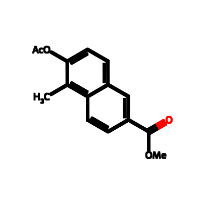 COC(=O)c1ccc2c(C)c(OC(C)=O)ccc2c1